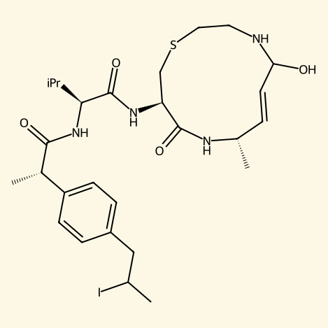 CC(I)Cc1ccc([C@H](C)C(=O)N[C@H](C(=O)N[C@H]2CSCCNC(O)/C=C/[C@H](C)NC2=O)C(C)C)cc1